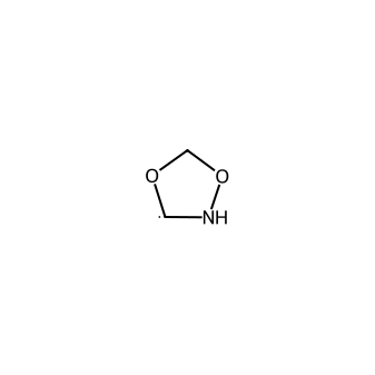 [CH]1NOCO1